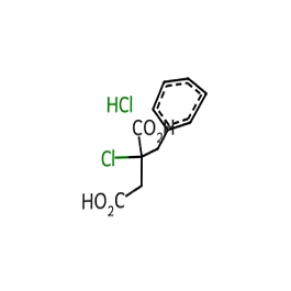 Cl.O=C(O)CC(Cl)(Cc1ccccc1)C(=O)O